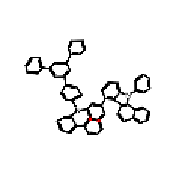 c1ccc(-c2cc(-c3ccccc3)cc(-c3ccc(N(c4cccc(-c5cccc6c5c5ccc7ccccc7c5n6-c5ccccc5)c4)c4ccccc4-c4ccccc4)cc3)c2)cc1